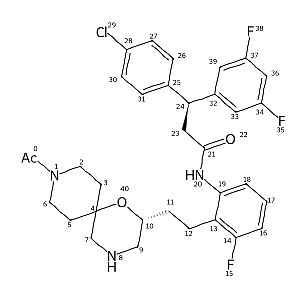 CC(=O)N1CCC2(CC1)CNC[C@@H](CCc1c(F)cccc1NC(=O)C[C@@H](c1ccc(Cl)cc1)c1cc(F)cc(F)c1)O2